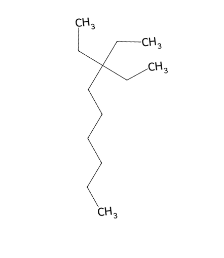 CCCCCCC(CC)(CC)CC